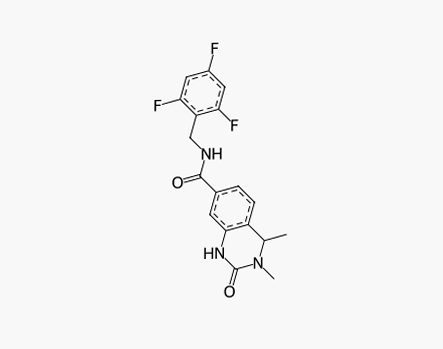 CC1c2ccc(C(=O)NCc3c(F)cc(F)cc3F)cc2NC(=O)N1C